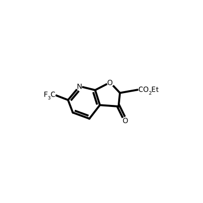 CCOC(=O)C1Oc2nc(C(F)(F)F)ccc2C1=O